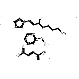 CCCCCC(O)C=Cn1ccnc1.COc1ccccn1.O=C(O)C=CC(=O)O